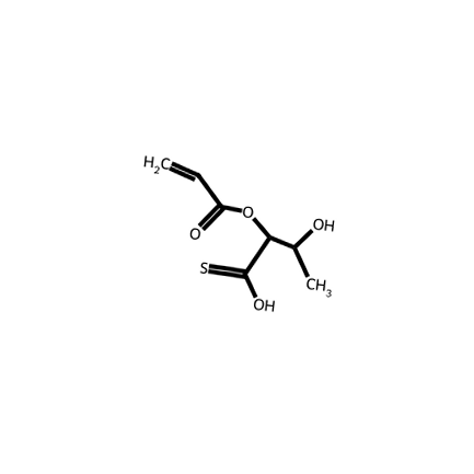 C=CC(=O)OC(C(O)=S)C(C)O